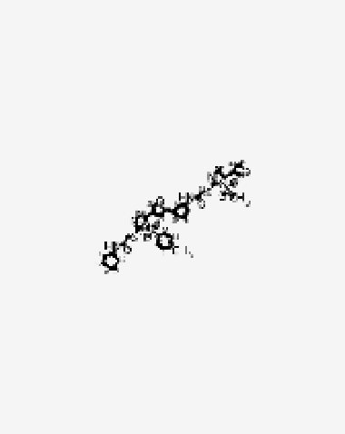 Cc1ccc(S(=O)(=O)n2c(SCC(=O)Nc3ccccc3)nnc2-c2coc(-c3cccc(NC(=O)CSc4nnc(-c5ccoc5)n4S(C)(=O)=O)c3)c2)cc1